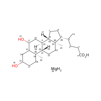 CC(CCC(=O)O)[C@H]1CC[C@H]2[C@@H]3CC(O)C4CC(O)CC[C@]4(C)[C@H]3CC[C@]12C.[MgH2]